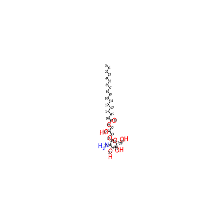 CCCCCCCCCCCCCCCCCC(=O)OCC(O)CO[C@@H]1O[C@H](CO)[C@@H](O)[C@H](O)[C@@H]1N